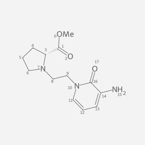 COC(=O)[C@H]1CCCN1CCn1cccc(N)c1=O